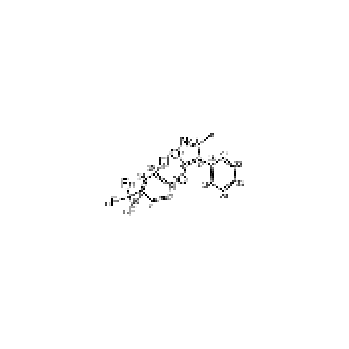 Cc1noc(Oc2ccc(C(F)(F)F)cc2Cl)c1-c1ccccc1